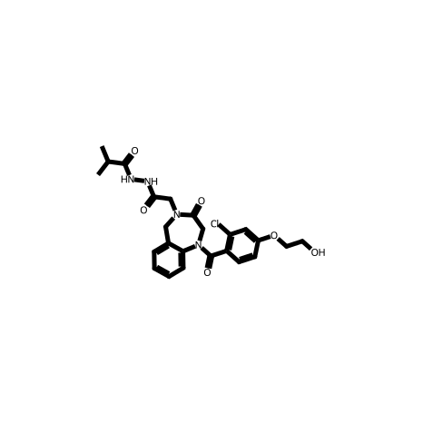 CC(C)C(=O)NNC(=O)CN1Cc2ccccc2N(C(=O)c2ccc(OCCO)cc2Cl)CC1=O